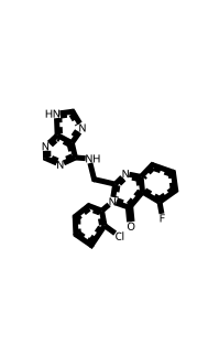 O=c1c2c(F)cccc2nc(CNc2ncnc3[nH]cnc23)n1-c1ccccc1Cl